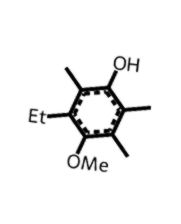 CCc1c(C)c(O)c(C)c(C)c1OC